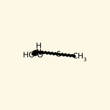 CCCCCCCCCCSCCCCCCCCCCC(=O)Nc1ccc(O)cc1